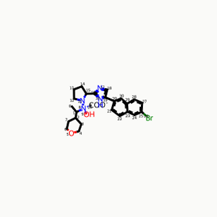 CC(C1CCOCC1)[N+](O)(C(=O)[O-])N1CCCC1c1ncc(-c2ccc3cc(Br)ccc3c2)[nH]1